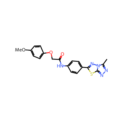 COc1ccc(OCC(=O)Nc2ccc(-c3nn4c(C)nnc4s3)cc2)cc1